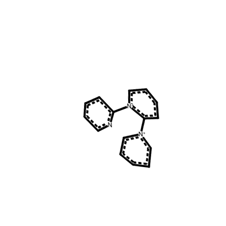 c1cc[n+](-c2cccc[n+]2-c2ccccn2)cc1